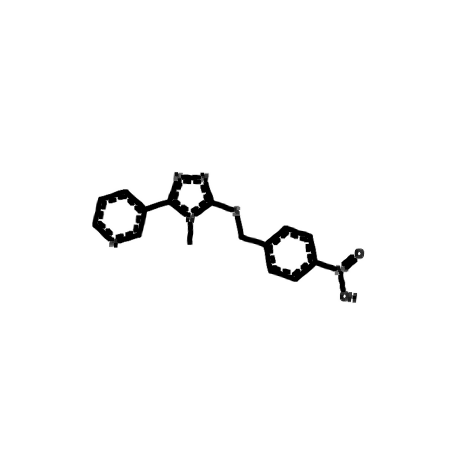 Cn1c(SCc2ccc([N+](=O)O)cc2)nnc1-c1cccnc1